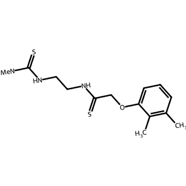 CNC(=S)NCCNC(=S)COc1cccc(C)c1C